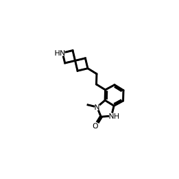 Cn1c(=O)[nH]c2cccc(CCC3CC4(CNC4)C3)c21